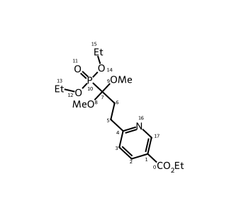 CCOC(=O)c1ccc(CCC(OC)(OC)P(=O)(OCC)OCC)nc1